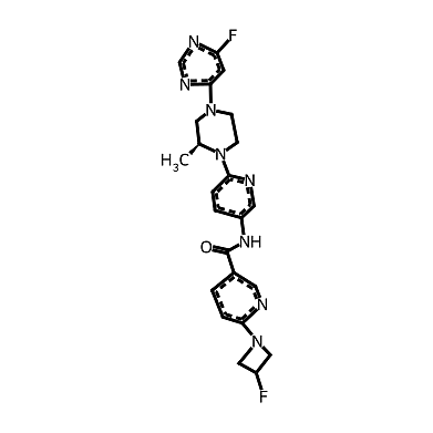 C[C@H]1CN(c2cc(F)ncn2)CCN1c1ccc(NC(=O)c2ccc(N3CC(F)C3)nc2)cn1